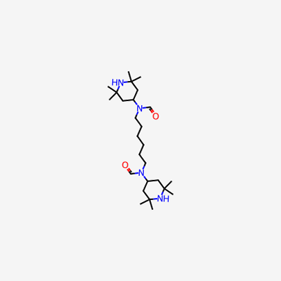 CC1(C)CC(N(C=O)CCCCCCN(C=O)C2CC(C)(C)NC(C)(C)C2)CC(C)(C)N1